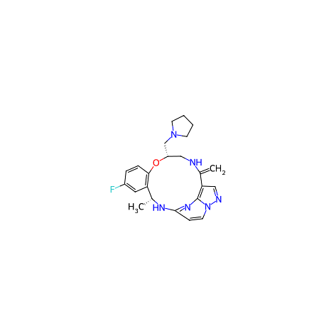 C=C1NC[C@@H](CN2CCCC2)Oc2ccc(F)cc2[C@@H](C)Nc2ccn3ncc1c3n2